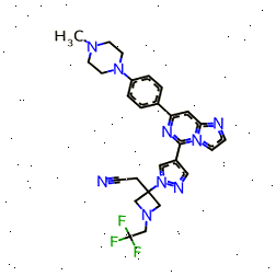 CN1CCN(c2ccc(-c3cc4nccn4c(-c4cnn(C5(CC#N)CN(CC(F)(F)F)C5)c4)n3)cc2)CC1